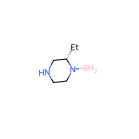 BN1CCNC[C@@H]1CC